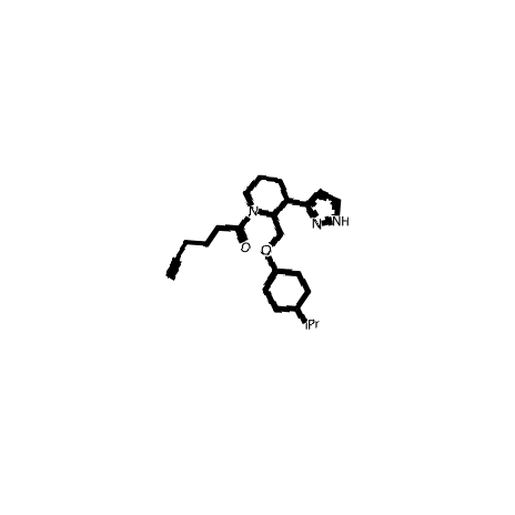 C#CCCCC(=O)N1CCCC(c2cc[nH]n2)C1COC1CCC(C(C)C)CC1